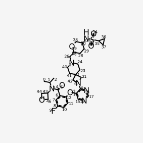 CC(C)N(C(=O)c1cc(F)ccc1Oc1cncnc1N1CC2(CCN(C[C@@H]3CC[C@@H](NS(=O)(=O)C4CC4)CO3)CC2)C1)C1COC1